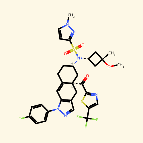 CO[C@]1(C)C[C@H](N([C@H]2CCC3=Cc4c(cnn4-c4ccc(F)cc4)C[C@]3(C(=O)c3ncc(C(F)(F)F)s3)C2)S(=O)(=O)c2ccn(C)n2)C1